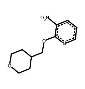 O=[N+]([O-])c1cccnc1OCC1CCOCC1